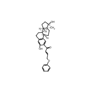 C[C@]12CC[C@@H]3c4cc(C(=O)C=CCOc5ccccc5)c(O)cc4CC[C@H]3[C@@H]1CC[C@H]2O